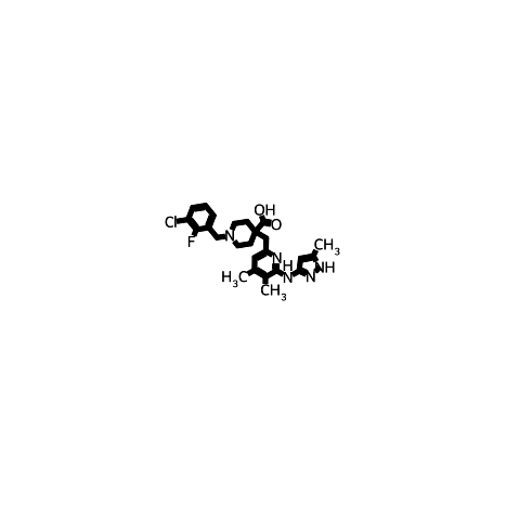 Cc1cc(Nc2nc(CC3(C(=O)O)CCN(Cc4cccc(Cl)c4F)CC3)cc(C)c2C)n[nH]1